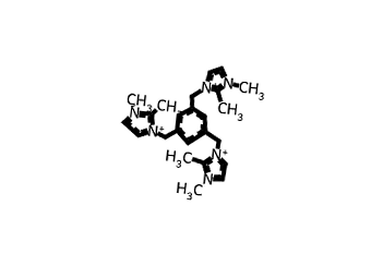 Cc1n(C)cc[n+]1Cc1cc(C[n+]2ccn(C)c2C)cc(C[n+]2ccn(C)c2C)c1